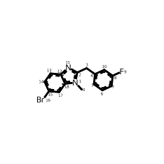 Cn1c(Cc2cccc(F)c2)nc2ccc(Br)cc21